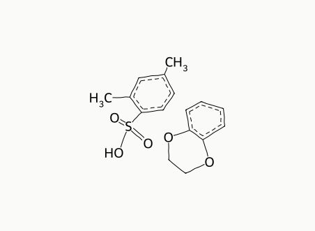 Cc1ccc(S(=O)(=O)O)c(C)c1.c1ccc2c(c1)OCCO2